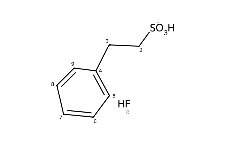 F.O=S(=O)(O)CCc1ccccc1